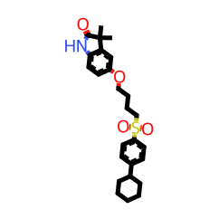 CC1(C)C(=O)Nc2ccc(OCCCCS(=O)(=O)c3ccc(C4CCCCC4)cc3)cc21